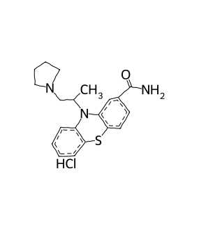 CC(CN1CCCC1)N1c2ccccc2Sc2ccc(C(N)=O)cc21.Cl